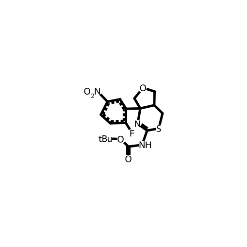 CC(C)(C)OC(=O)NC1=NC2(c3cc([N+](=O)[O-])ccc3F)COCC2CS1